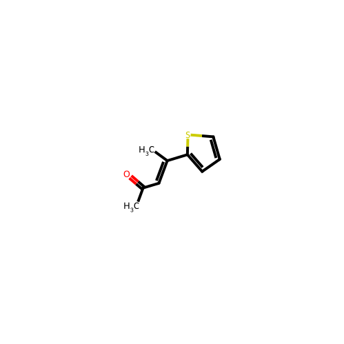 CC(=O)C=C(C)c1cccs1